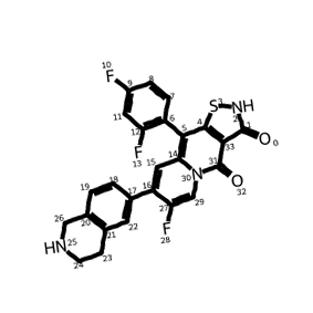 O=c1[nH]sc2c(-c3ccc(F)cc3F)c3cc(-c4ccc5c(c4)CCNC5)c(F)cn3c(=O)c12